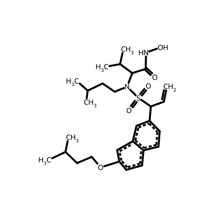 C=CC(c1ccc2ccc(OCCC(C)C)cc2c1)S(=O)(=O)N(CCC(C)C)C(C(=O)NO)C(C)C